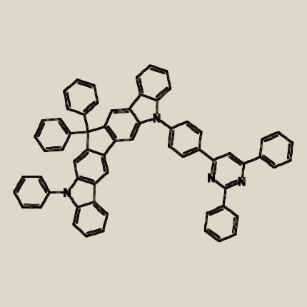 c1ccc(-c2cc(-c3ccc(-n4c5ccccc5c5cc6c(cc54)-c4cc5c7ccccc7n(-c7ccccc7)c5cc4C6(c4ccccc4)c4ccccc4)cc3)nc(-c3ccccc3)n2)cc1